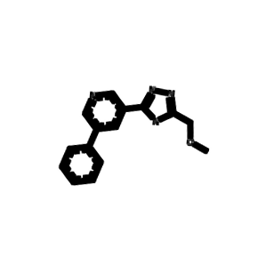 COCC1=NN=C(c2cncc(-c3ccccc3)c2)[N]1